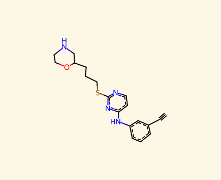 C#Cc1cccc(Nc2ccnc(SCCCC3CNCCO3)n2)c1